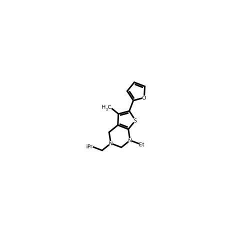 CCN1CN(CC(C)C)Cc2c1sc(-c1ccco1)c2C